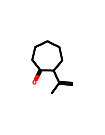 C=C(C)C1CCCCCC1=O